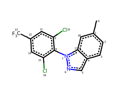 Cc1ccc2cnn(-c3c(Cl)cc(C(F)(F)F)cc3Cl)c2c1